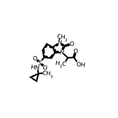 CC(C(=O)O)n1c(=O)n(C)c2ccc(S(=O)(=O)NC3(C)CC3)cc21